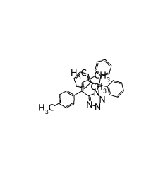 Cc1ccc(C(=CC(C)(C)C)c2nnnn2C(c2ccccc2)(c2ccccc2)c2ccccc2)cc1